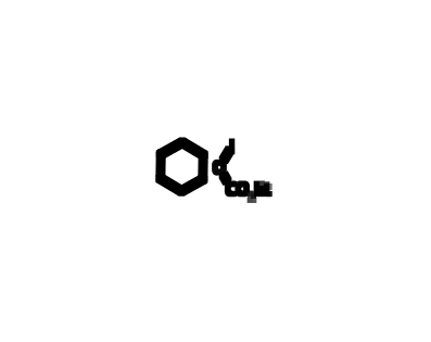 C1CCCCC1.CCOC(=O)OI